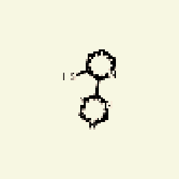 Sc1cccnc1-c1ncncn1